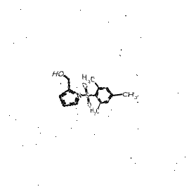 Cc1cc(C)c(S(=O)(=O)n2cccc2CO)c(C)c1